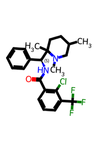 CC1CCC(C)([C@@H](NC(=O)c2cccc(C(F)(F)F)c2Cl)c2ccccc2)N(C)C1